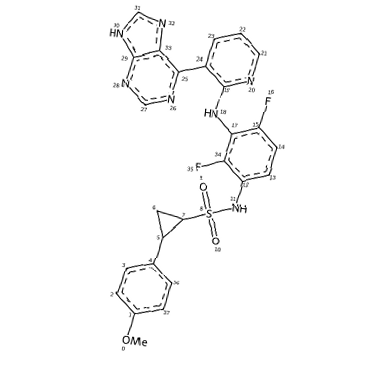 COc1ccc(C2CC2S(=O)(=O)Nc2ccc(F)c(Nc3ncccc3-c3ncnc4[nH]cnc34)c2F)cc1